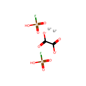 O=C([O-])C(=O)[O-].O=S(=O)(O)F.O=S(=O)(O)F.[Li+].[Li+]